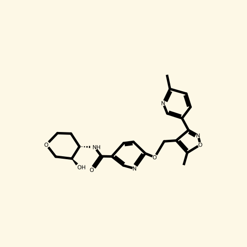 Cc1ccc(-c2noc(C)c2COc2ccc(C(=O)N[C@H]3CCOC[C@@H]3O)cn2)cn1